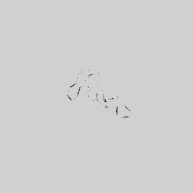 O=C1OCc2ccccc2N1C1CCN(S(=O)(=O)c2ccccc2)CC1